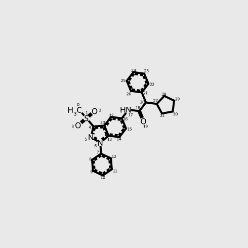 CS(=O)(=O)c1nn(-c2ccccc2)c2ccc(NC(=O)C(c3ccccc3)C3CCCC3)cc12